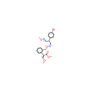 CO/C=C(\C(=O)OC)c1ccccc1CO/N=C\C(/C=N/OC)c1ccc(Br)cc1